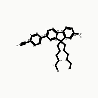 CCCCCCC1(CCCCCC)c2cc(Br)ccc2-c2ccc(-c3ccc(C#N)cc3)cc21